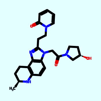 C[C@H]1CCc2c(ccc3c2nc(CCn2ccccc2=O)n3CC(=O)N2CC[C@H](O)C2)N1